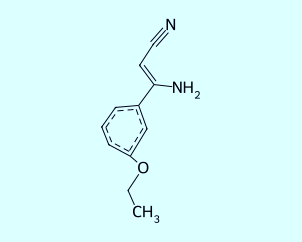 CCOc1cccc(/C(N)=C/C#N)c1